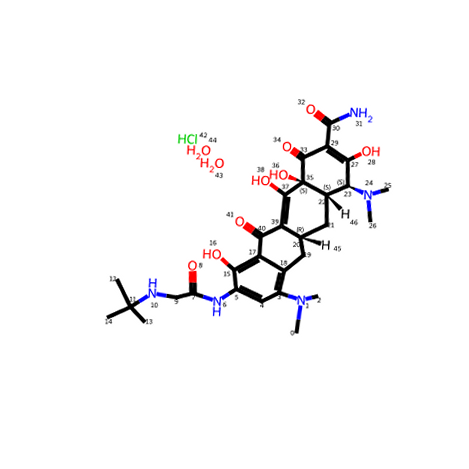 CN(C)c1cc(NC(=O)CNC(C)(C)C)c(O)c2c1C[C@H]1C[C@H]3[C@H](N(C)C)C(O)=C(C(N)=O)C(=O)[C@@]3(O)C(O)=C1C2=O.Cl.O.O